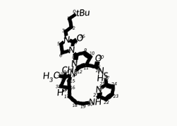 CC(C)(C)CCCN1CCN(c2ccc3c(n2)N2C[C@@H](CCCNc4cccc(n4)SNC3=O)CC2(C)C)C1=O